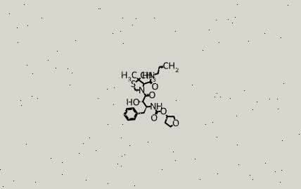 C=CCNC(=O)C1N(C(=O)[C@@H](O)[C@H](Cc2ccccc2)NC(=O)OC2CCOC2)CSC1(C)C